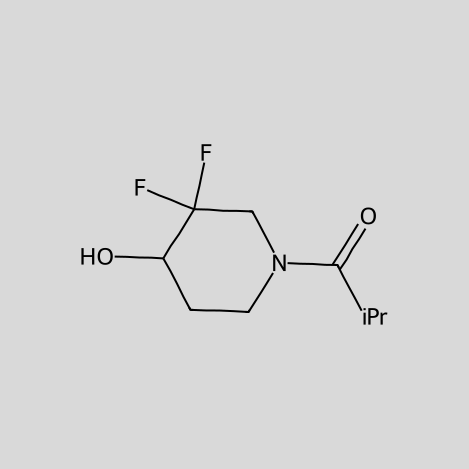 CC(C)C(=O)N1CCC(O)C(F)(F)C1